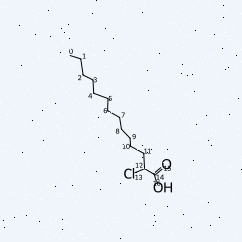 CCCCCCCCCCCCC(Cl)C(=O)O